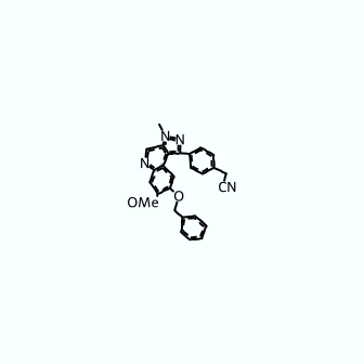 COc1cc2ncc3c(c(-c4ccc(CC#N)cc4)nn3C)c2cc1OCc1ccccc1